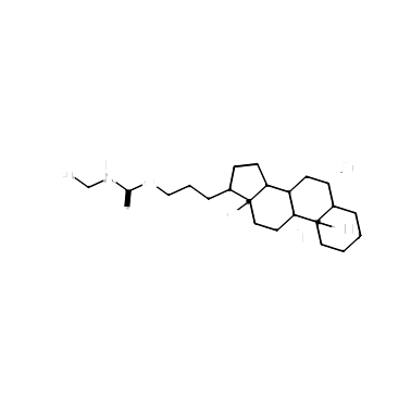 CC[C@H]1CC2C3CCC(CCCOC(=O)NCC(C)(C)C)C3(C)CC[C@@H]2C2(C)CCCCC12